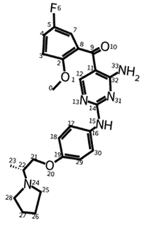 COc1ccc(F)cc1C(=O)c1cnc(Nc2ccc(OC[C@@H](C)N3CCCC3)cc2)nc1N